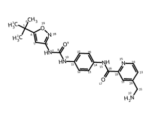 CC(C)(C)c1cc(NC(=O)Nc2ccc(NC(=O)c3cc(CN)ccn3)cc2)no1